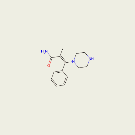 C/C(C(N)=O)=C(/c1ccccc1)N1CCNCC1